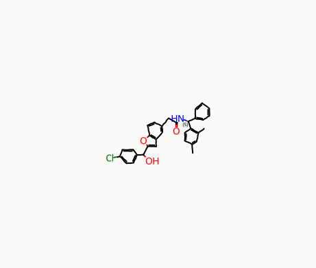 Cc1ccc([C@@H](NC(=O)Cc2ccc3oc(C(O)c4ccc(Cl)cc4)cc3c2)c2ccccc2)c(C)c1